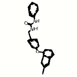 CC1=Cc2cccc(Oc3ccc(CNC(=O)Nc4ccccc4)cc3)c2C1